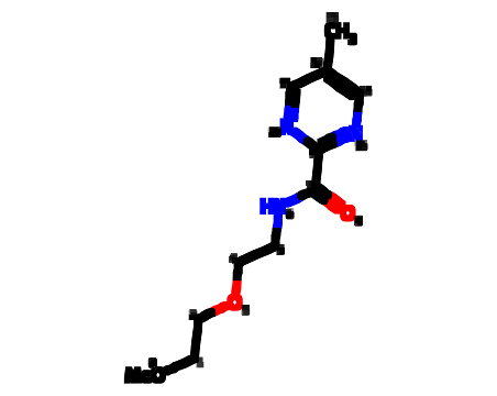 COCCOCCNC(=O)c1ncc(C)cn1